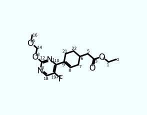 CCOC(=O)CC1CC=C(c2nc(OCOC)ncc2F)CC1